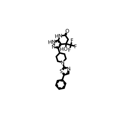 O=C1CC(O)(C(F)(F)F)c2c(C3CCN(c4ncc(-c5ccccc5)s4)CC3)n[nH]c2N1